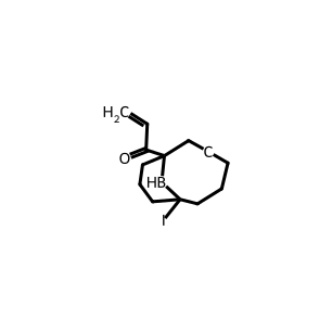 C=CC(=O)C12BC(I)(CCCCC1)CCC2